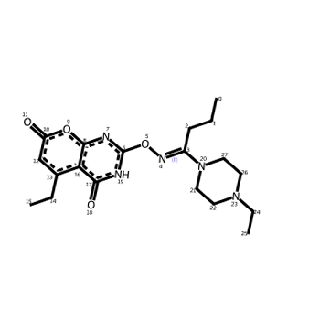 CCC/C(=N\Oc1nc2oc(=O)cc(CC)c2c(=O)[nH]1)N1CCN(CC)CC1